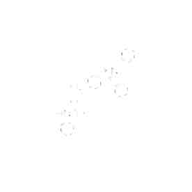 Cc1ccc(NC(=O)OCC(=O)c2ccc(S(=O)(=O)N(Cc3ccccc3)Cc3ccccc3)cc2C)cc1